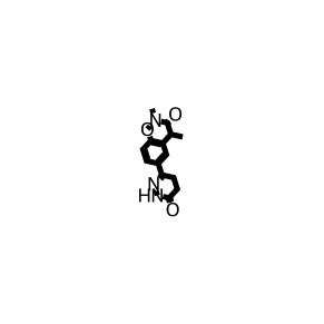 CC1C(=O)N(C)Oc2ccc(C3=NNC(=O)CC3)cc21